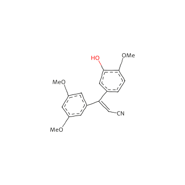 COc1cc(OC)cc(C(=CC#N)c2ccc(OC)c(O)c2)c1